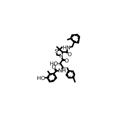 Cc1ccc(C[C@H](NC(=O)c2cccc(O)c2C)[C@H](O)C(=O)N2CSC(C)(C)C2C(=O)NCc2ccccc2C)cc1